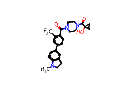 CN1CCc2cc(-c3ccc(C(=O)N4CCN(C(=O)C5(O)CC5)CC4)c(C(F)(F)F)c3)ccc21